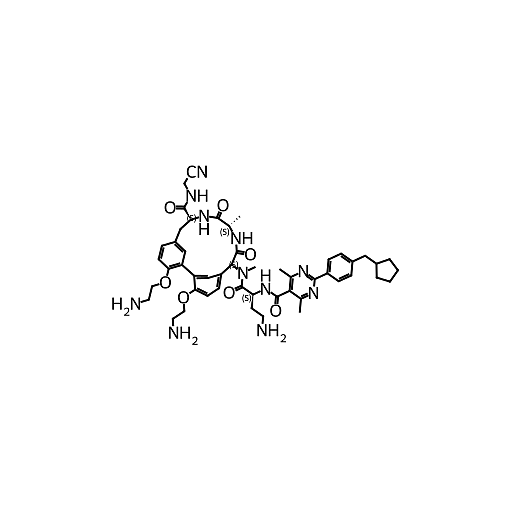 Cc1nc(-c2ccc(CC3CCCC3)cc2)nc(C)c1C(=O)N[C@@H](CCN)C(=O)N(C)[C@@H]1C(=O)N[C@@H](C)C(=O)N[C@H](C(=O)NCC#N)Cc2ccc(OCCN)c(c2)-c2cc1ccc2OCCN